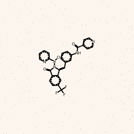 CN(c1ccccn1)N1C(=O)c2ccc(C(F)(F)F)cc2/C1=C/c1cccc(NC(=O)c2ccncc2)c1